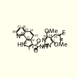 COc1nc(NS(=O)(=O)c2c[nH]c3c2ccc2cccnc23)nc(OC)c1CC(F)F